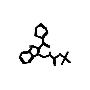 CC(C)(C)OC(=O)NCc1c(C(=O)c2ccccc2)[nH]c2ccccc12